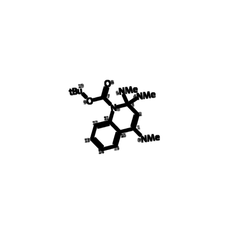 CNC1=CC(NC)(NC)N(C(=O)OC(C)(C)C)c2cc[c]cc21